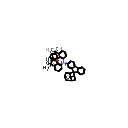 CC1(C)CCC(C)(C)c2c(N(c3ccc4c(c3)C3(c5ccccc5-4)C4CC5CC6CC3C64C5)c3cccc4c3-c3ccccc3C4(C)C)cccc21